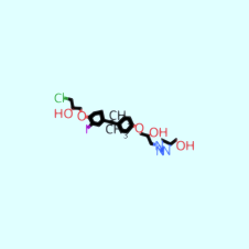 CC(C)(c1ccc(OC[C@H](O)CN2CC(CO)N=N2)cc1)c1ccc(OC[C@@H](O)CCl)c(I)c1